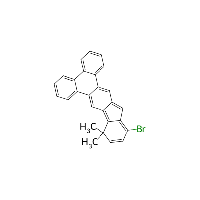 CC1(C)C=CC(Br)=C2C=c3cc4c5ccccc5c5ccccc5c4cc3=C21